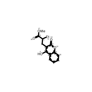 CCC(Cc1c(O)c2ccccc2oc1=O)C(=O)OC